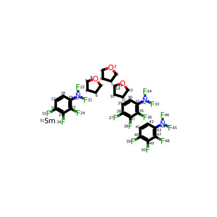 C1CCOC1.C1CCOC1.C1CCOC1.Fc1ccc(N(F)F)c(F)c1F.Fc1ccc(N(F)F)c(F)c1F.Fc1ccc(N(F)F)c(F)c1F.[Sm]